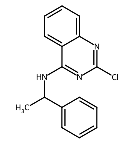 CC(Nc1nc(Cl)nc2ccccc12)c1ccccc1